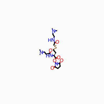 CN(C)CCNC(=O)CSCC[C@H](NC(=O)CCN(C)C)C(=O)ON1C(=O)CCC1=O